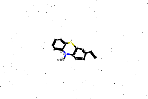 C=Cc1ccc2c(c1)Sc1ccccc1N2CCCCCC